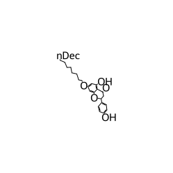 CCCCCCCCCCCCCCCCCCOc1cc(O)c2c(c1)OC(c1ccc(O)cc1)CC2=O